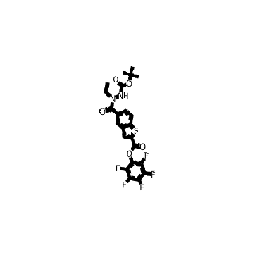 CCN(NC(=O)OC(C)(C)C)C(=O)c1ccc2sc(C(=O)Oc3c(F)c(F)c(F)c(F)c3F)cc2c1